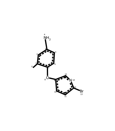 Cc1cc(N)ccc1Oc1ccc(Br)nc1